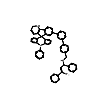 N/C(=C\C(NCc1ccc(-c2cccc(-c3ccc4c(c3)C3(C5=C4NCC=C5)c4ccccc4N(c4ccccc4)c4ccccc43)c2)cc1)c1ccccc1)c1ccccc1